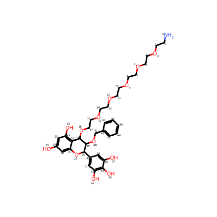 NCCOCCOCCOCCOCCOCCOC1c2c(O)cc(O)cc2OC(c2cc(O)c(O)c(O)c2)C1OCc1ccccc1